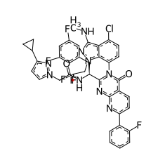 CNc1nn(CC(F)(F)F)c2c(-n3c([C@H](Cc4cc(F)cc(F)c4)NC(=O)Cn4ccc(C5CC5)n4)nc4nc(-c5ccccc5F)ccc4c3=O)ccc(Cl)c12